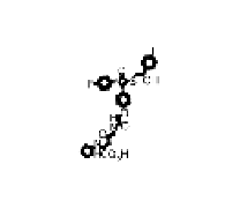 O=C(CNC(=O)COc1ccc([C@@H]2[C@@H](SCC(O)c3ccc(F)cc3)C(=O)N2c2ccc(F)cc2)cc1)C[C@@H](NC1CCCC1)C(=O)O